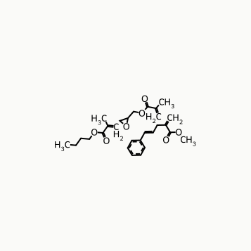 C=C(C)C(=O)OCC1CO1.C=C(C)C(=O)OCCCC.C=C(CC=Cc1ccccc1)C(=O)OC